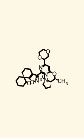 C[C@H](Oc1cc(C2COCCO2)nc(-c2noc3c2CCC[C@@]32CCCCC2=O)n1)[C@@H]1CCCN1C